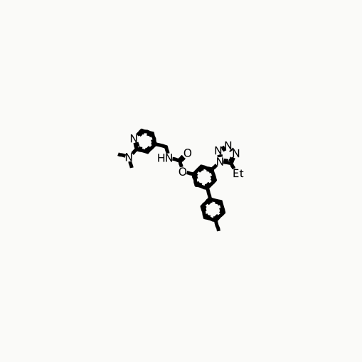 CCc1nnnn1-c1cc(OC(=O)NCc2ccnc(N(C)C)c2)cc(-c2ccc(C)cc2)c1